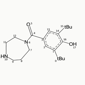 CC(C)(C)c1cc(C(=O)N2CCCNCC2)cc(C(C)(C)C)c1O